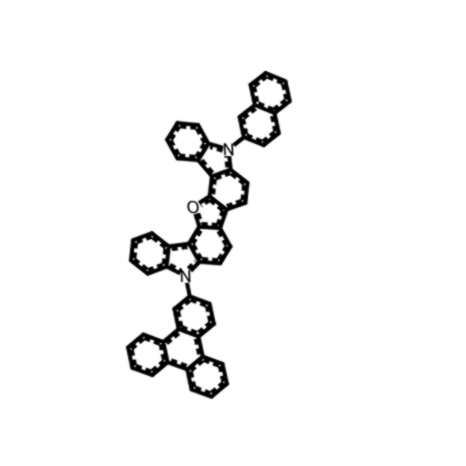 c1ccc2cc(-n3c4ccccc4c4c5oc6c(ccc7c6c6ccccc6n7-c6ccc7c8ccccc8c8ccccc8c7c6)c5ccc43)ccc2c1